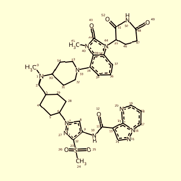 CN(CC1CCC(n2cc(NC(=O)c3cnn4cccnc34)c(S(C)(=O)=O)n2)CC1)C1CCN(c2cccc3c2n(C)c(=O)n3C2CCC(=O)NC2=O)CC1